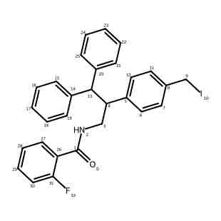 O=C(NCC(c1ccc(CI)cc1)C(c1ccccc1)c1ccccc1)c1ccccc1F